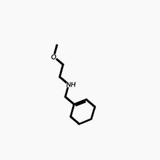 COCCNCC1=CCCCC1